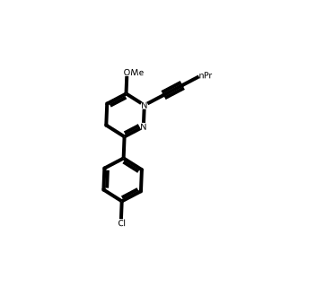 CCCC#CN1N=C(c2ccc(Cl)cc2)CC=C1OC